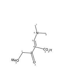 COCC(=O)C(=CN(C)C)C(=O)O